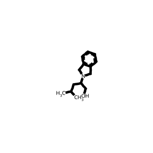 CC(C)CC(CO)N1Cc2ccccc2C1